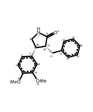 COc1ccc([C@@H]2CNC(=O)[C@@H]2Cc2ccccc2)cc1OC